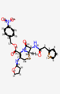 O=C(Cc1cccs1)N[C@@H]1C(=O)N2C(C(=O)OCc3ccc([N+](=O)[O-])cc3)=C(N=C3CCCO3)CS[C@@H]12